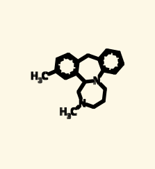 Cc1ccc2c(c1)C1CN(C)CCCN1c1ccccc1C2